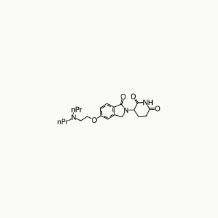 CCCN(CCC)CCOc1ccc2c(c1)CN(C1CCC(=O)NC1=O)C2=O